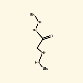 CC(C)(C)NNCC(=O)NNC(C)(C)C